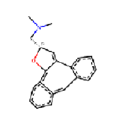 CN(C)C[C@@H]1C=C2C(=c3ccccc3=Cc3ccccc32)O1